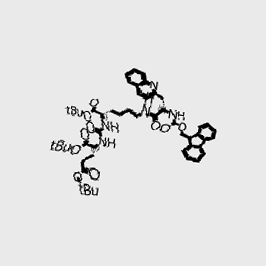 CC(C)(C)OC(=O)CC[C@@H](NC(=O)N[C@@H](CCCCNC(=O)[C@H](Cc1ccc2ccccc2n1)NC(=O)OCC1c2ccccc2-c2ccccc21)C(=O)OC(C)(C)C)C(=O)OC(C)(C)C